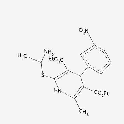 CCOC(=O)C1=C(C)NC(SC(C)N)=C(C(=O)OCC)C1c1cccc([N+](=O)[O-])c1